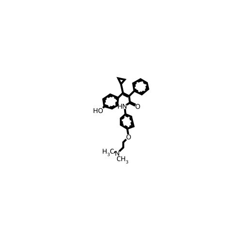 CN(C)CCOc1ccc(NC(=O)C(=C(c2ccc(O)cc2)C2CC2)c2ccccc2)cc1